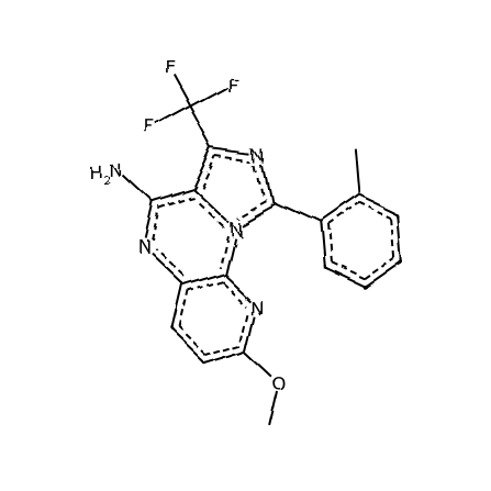 COc1ccc2nc(N)c3c(C(F)(F)F)nc(-c4ccccc4C)n3c2n1